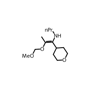 CCCN/C(=C(\C)OCOC)C1CCOCC1